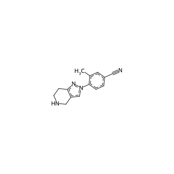 Cc1cc(C#N)ccc1-n1cc2c(n1)CCNC2